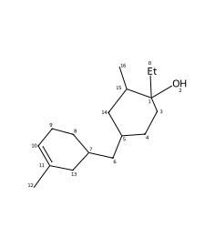 CCC1(O)CCC(CC2CCC=C(C)C2)CC1C